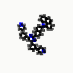 c1cc(-c2ccncc2)cc(-c2cc(-c3cccc(-c4ccncc4)c3)nc(-c3ccc4cc(-n5c6cccc7ccc8cccc5c8c76)ccc4c3)n2)c1